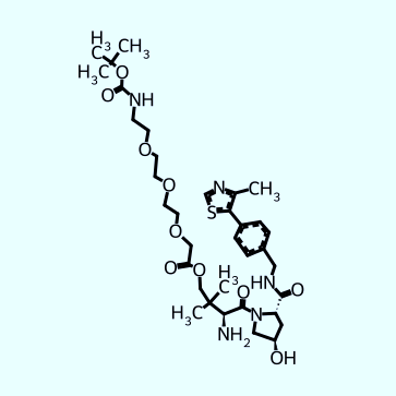 Cc1ncsc1-c1ccc(CNC(=O)[C@@H]2C[C@@H](O)CN2C(=O)[C@@H](N)C(C)(C)COC(=O)COCCOCCOCCNC(=O)OC(C)(C)C)cc1